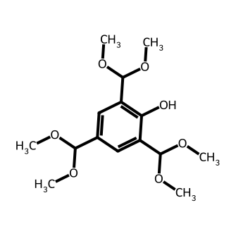 COC(OC)c1cc(C(OC)OC)c(O)c(C(OC)OC)c1